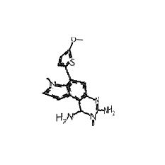 COc1ccc(-c2cc3c(c4ccn(C)c24)C(N)N(C)C(N)=N3)s1